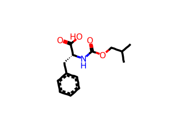 CC(C)COC(=O)N[C@H](Cc1ccccc1)C(=O)O